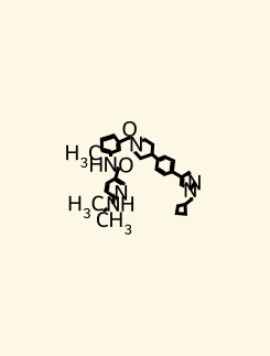 Cc1ccc(C(=O)N2CCC(c3ccc(-c4cnn(CC5CCC5)c4)cc3)CC2)cc1NC(=O)c1ccc(NC(C)C)nc1